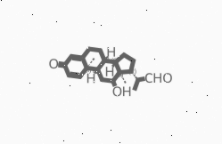 CC(C=O)[C@H]1CC[C@H]2[C@@H]3CCC4=CC(=O)C=C[C@]4(C)[C@H]3CC(O)[C@]12C